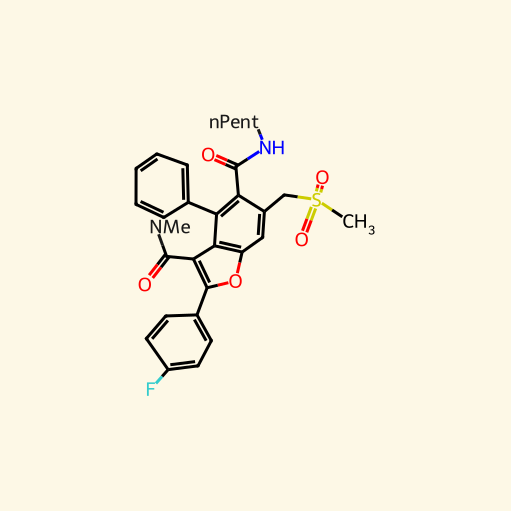 CCCCCNC(=O)c1c(CS(C)(=O)=O)cc2oc(-c3ccc(F)cc3)c(C(=O)NC)c2c1-c1ccccc1